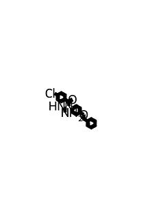 N=C(N)N(C(=O)c1ccc(Cl)cc1)c1ccc(OCc2ccccc2)cc1